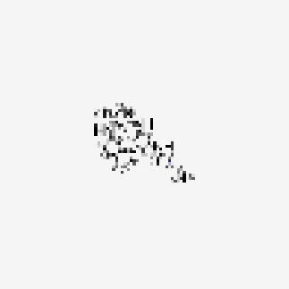 CN(C)C/C=C/C(=O)Nc1cccc(Nc2ncc(Cl)c(Nc3ccc4ccccc4c3)n2)c1